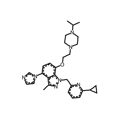 Cc1nn(Cc2cccc(C3CC3)n2)c2c(OCCN3CCN(C(C)C)CC3)ccc(-n3ccnc3)c12